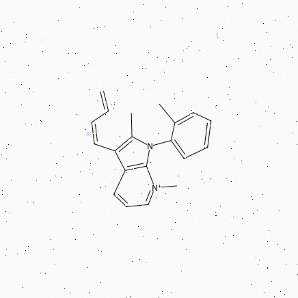 C=C/C=C\c1c(C)n(-c2ccccc2C)c2c1ccc[n+]2C